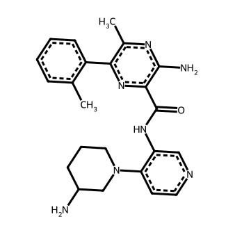 Cc1ccccc1-c1nc(C(=O)Nc2cnccc2N2CCCC(N)C2)c(N)nc1C